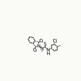 Cc1ccc(NC(=S)N(C)N2C(=O)c3ccccc3C2=O)cc1Cl